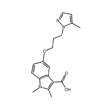 Cc1ccnn1CCCOc1ccc2c(c1)c(C(=O)O)c(C)n2C